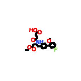 CCOC(=O)CC(Cc1ccc(-c2cc(F)ccc2OC)cc1)NC(=O)CCC(=O)O